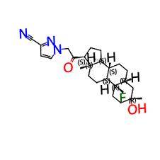 C[C@@]1(O)CC[C@@]2(CF)[C@H](CC[C@H]3[C@@H]4CC[C@H](C(=O)Cn5ccc(C#N)n5)[C@@]4(C)CC[C@@H]32)C1